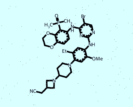 CCc1cc(Nc2ncc(Br)c(Nc3ccc4c(c3P(C)(C)=O)OCCO4)n2)c(OC)cc1N1CCC(N2CC(CC#N)C2)CC1